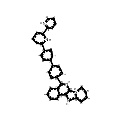 c1ccc(-c2cccc(-c3ccc(-c4ccc(-c5nc6c(nc7ccccn76)c6ccccc56)cc4)cc3)n2)nc1